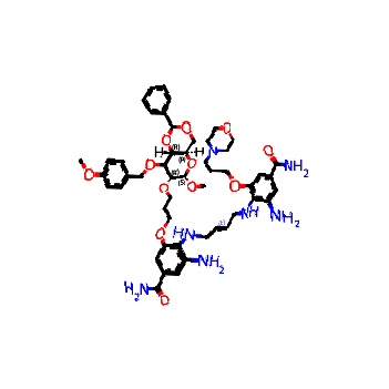 COc1ccc(COC2[C@@H](OCCCOc3cc(C(N)=O)cc(N)c3NC/C=C/CNc3c(N)cc(C(N)=O)cc3OCCCN3CCOCC3)[C@@H](OC)O[C@@H]3COC(c4ccccc4)O[C@@H]23)cc1